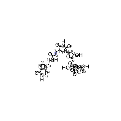 O=C(/C=C/c1cn([C@H]2CC(O)[C@@H](COP(=O)(O)OP(=O)(O)OP(=O)(O)O)O2)c(=O)[nH]c1=O)NCCn1cnc2c(=O)[nH]cnc21